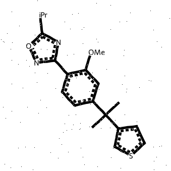 COc1cc(C(C)(C)c2ccsc2)ccc1-c1noc(C(C)C)n1